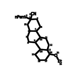 CCCCCC1(C#N)CCC2C(CCC3C2CCC2C(OCC)CCCC23)C1